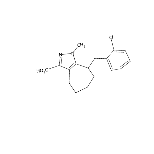 Cn1nc(C(=O)O)c2c1C(Cc1ccccc1Cl)CCCC2